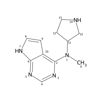 CN(c1ncnc2[nH]ccc12)C1CCNC1